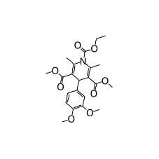 CCOC(=O)N1C(C)=C(C(=O)OC)C(c2ccc(OC)c(OC)c2)C(C(=O)OC)=C1C